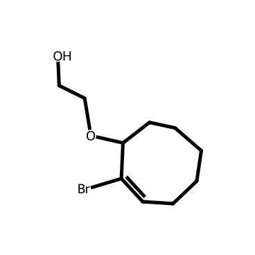 OCCOC1CCCCC/C=C\1Br